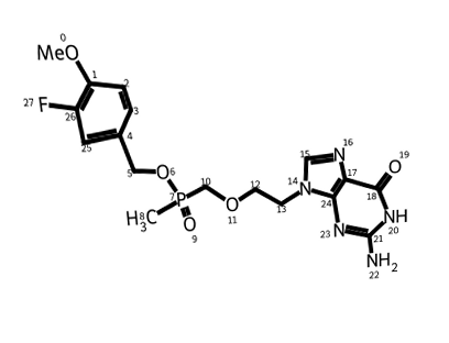 COc1ccc(COP(C)(=O)COCCn2cnc3c(=O)[nH]c(N)nc32)cc1F